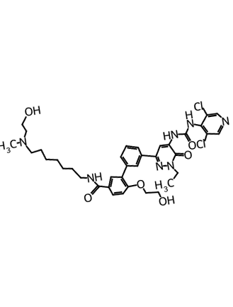 CCn1nc(-c2cccc(-c3cc(C(=O)NCCCCCCCN(C)CCO)ccc3OCCO)c2)cc(NC(=O)Nc2c(Cl)cncc2Cl)c1=O